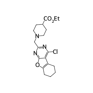 CCOC(=O)C1CCN(Cc2nc(Cl)c3c4c(oc3n2)CCCC4)CC1